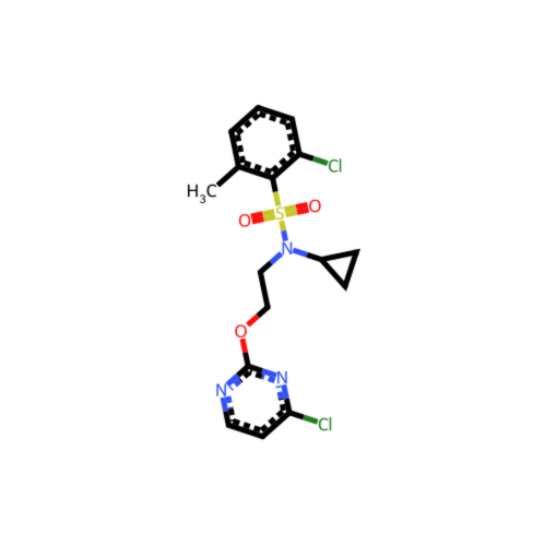 Cc1cccc(Cl)c1S(=O)(=O)N(CCOc1nccc(Cl)n1)C1CC1